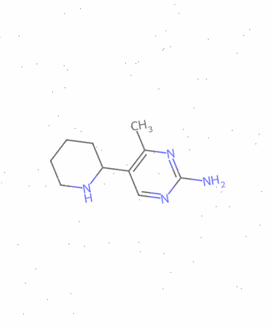 Cc1nc(N)ncc1C1CCCCN1